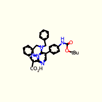 CC(C)(C)OC(=O)Nc1ccc(-c2cnc3c(C(=O)O)cnn3c2N(Cc2ccccc2)Cc2ccccc2)cc1